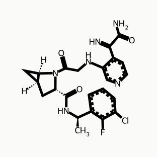 C[C@@H](NC(=O)[C@@H]1C[C@H]2C[C@H]2N1C(=O)CNc1cnccc1C(=N)C(N)=O)c1cccc(Cl)c1F